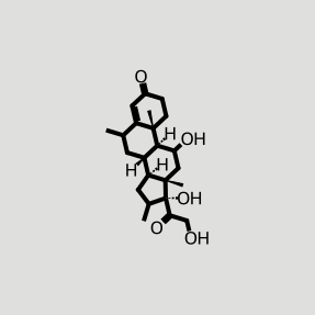 CC1C[C@@H]2[C@H](C(O)C[C@@]3(C)[C@H]2CC(C)[C@]3(O)C(=O)CO)[C@@]2(C)CCC(=O)C=C12